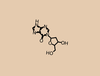 O=c1c2nc[nH]c2ncn1C1CC(O)C(CO)O1